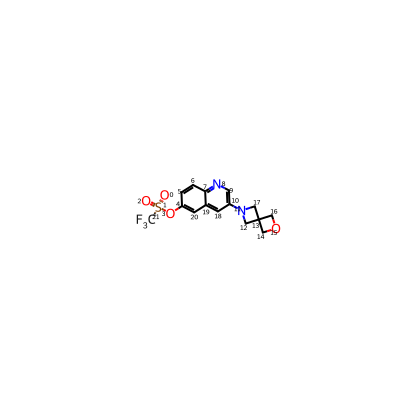 O=S(=O)(Oc1ccc2ncc(N3CC4(COC4)C3)cc2c1)C(F)(F)F